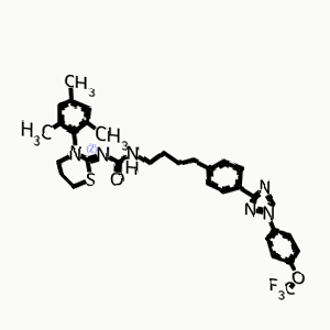 Cc1cc(C)c(N2CCCS/C2=N\C(=O)NCCCCc2ccc(-c3ncn(-c4ccc(OC(F)(F)F)cc4)n3)cc2)c(C)c1